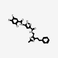 Cc1nc(CCc2ccccc2)c(CNC(=O)c2cc(NC(=O)c3cc(F)c(F)cc3Cl)[nH]n2)o1